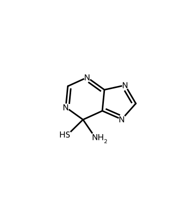 NC1(S)N=CN=C2N=CN=C21